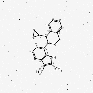 Cc1[nH]c2c(N3CCc4ccccc4C3C3CC3)nccc2c1C